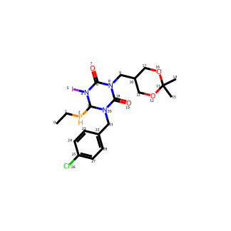 CCPC1N(I)C(=O)N(CC2COC(C)(C)OC2)C(=O)N1Cc1ccc(Cl)cc1